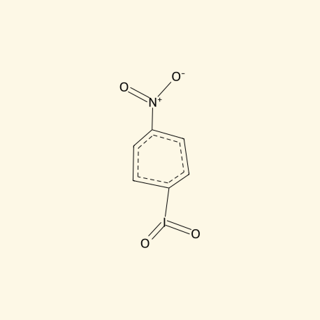 O=[N+]([O-])c1ccc(I(=O)=O)cc1